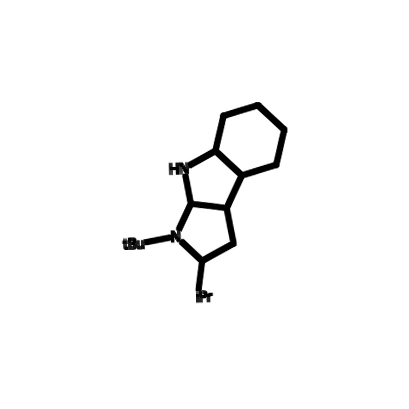 CC(C)C1CC2C3CCCCC3NC2N1C(C)(C)C